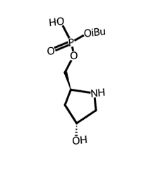 CC(C)COP(=O)(O)OC[C@@H]1C[C@@H](O)CN1